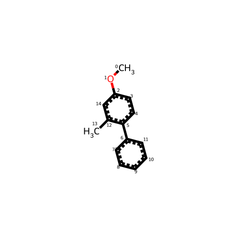 COc1ccc(-c2[c]cccc2)c(C)c1